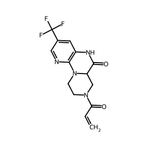 C=CC(=O)N1CCN2c3ncc(C(F)(F)F)cc3NC(=O)C2C1